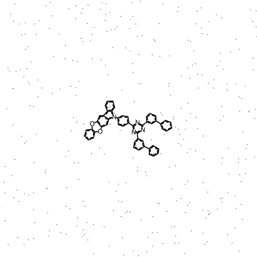 c1ccc(-c2cccc(-c3nc(-c4ccc(-n5c6ccccc6c6cc7c(cc65)Oc5ccccc5O7)cc4)nc(-c4cccc(-c5ccccc5)c4)n3)c2)cc1